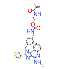 C=C(C)C(=O)NCCOC(=O)NCc1ccc(Cn2c(-c3ccsc3)nc3c(N)nc4ccccc4c32)cc1